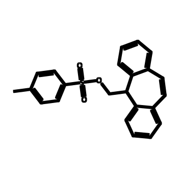 Cc1ccc(S(=O)(=O)OCC2c3ccccc3C=Cc3ccccc32)cc1